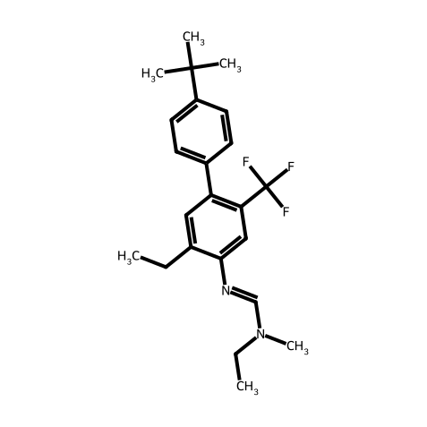 CCc1cc(-c2ccc(C(C)(C)C)cc2)c(C(F)(F)F)cc1N=CN(C)CC